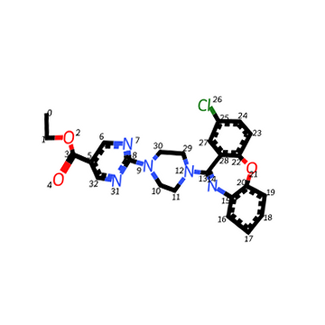 CCOC(=O)c1cnc(N2CCN(C3=Nc4ccccc4Oc4ccc(Cl)cc43)CC2)nc1